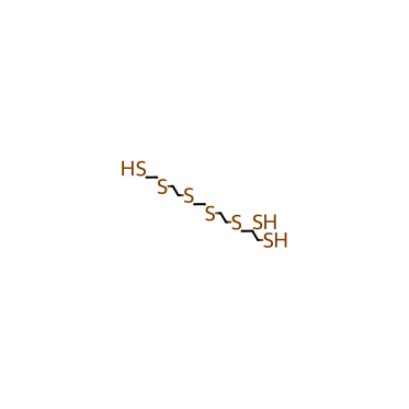 SCCSCCSCCSCCSCC(S)CS